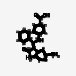 Nc1ccc2c(c1)C(=C(Nc1ccc(C(=O)O)cc1)c1ccccc1)C(=O)N2